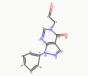 O=CCn1cnc2c(cnn2-c2ccccc2)c1=O